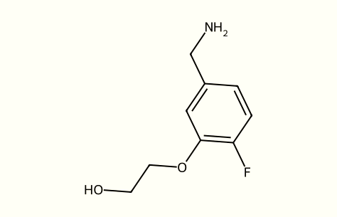 NCc1ccc(F)c(OCCO)c1